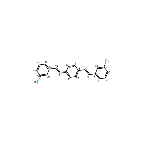 Fc1cccc(C=Cc2ccc(C=Cc3cccc(F)c3)cc2)c1